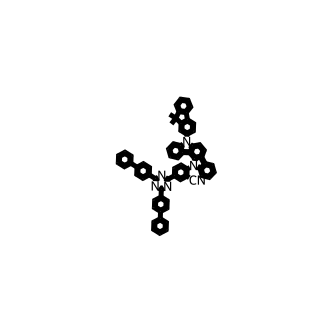 CC1(C)c2ccccc2-c2ccc(-n3c4ccccc4c4c3ccc3c5ccccc5n(-c5ccc(-c6nc(-c7ccc(-c8ccccc8)cc7)nc(-c7ccc(-c8ccccc8)cc7)n6)cc5C#N)c34)cc21